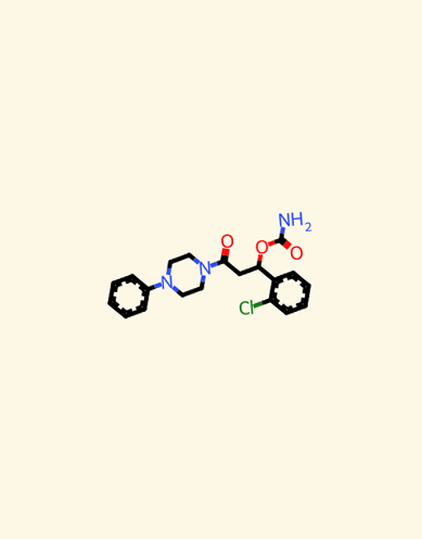 NC(=O)OC(CC(=O)N1CCN(c2ccccc2)CC1)c1ccccc1Cl